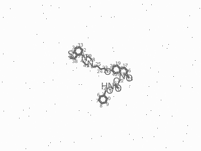 O=C(NOCc1ccccc1)OCn1c(=O)ccc2ccc(OCCCCN3CCN(c4cccc5sccc45)CC3)cc21